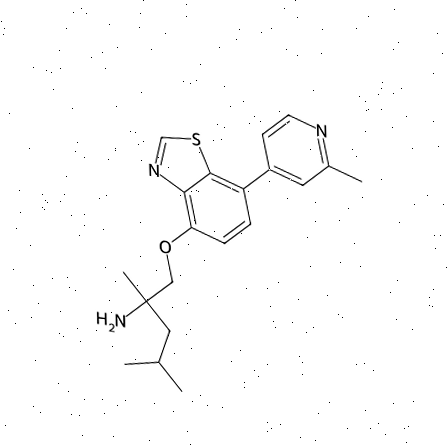 Cc1cc(-c2ccc(OCC(C)(N)CC(C)C)c3ncsc23)ccn1